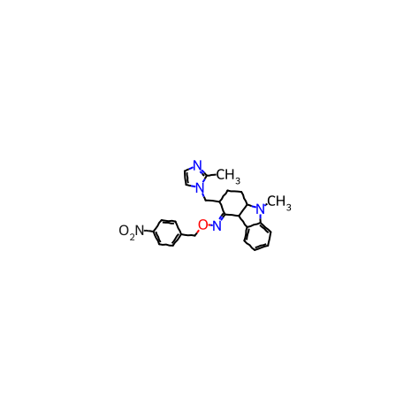 Cc1nccn1CC1CCC2C(/C1=N/OCc1ccc([N+](=O)[O-])cc1)c1ccccc1N2C